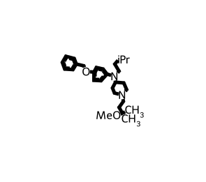 COC(C)(C)CCN1CCC(N(CCC(C)C)c2ccc(OCc3ccccc3)cc2)CC1